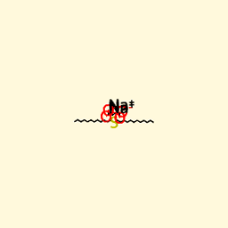 CCCCCCCCCCCCSCCCCCCCCCCCC.O=C([O-])CCC(=O)[O-].[Na+].[Na+]